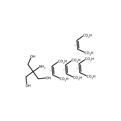 NC(CO)(CO)CO.O=C(O)/C=C\C(=O)O.O=C(O)/C=C\C(=O)O.O=C(O)/C=C\C(=O)O.O=C(O)/C=C\C(=O)O